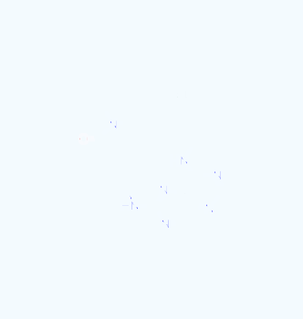 O=C([C@H]1CC[C@H](Nc2ncc3ncnc(Nc4cccc(Cl)c4)c3n2)CC1)N1CCCC1